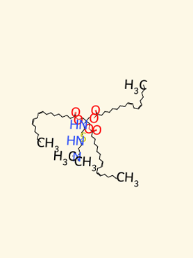 CCCCC/C=C\C/C=C\CCCCCCCC(=O)OCC(COC(=O)CCCCCCC/C=C\C/C=C\CCCCC)(COC(=O)CCCCCCC/C=C\C/C=C\CCCCC)NCCSNCCCN(C)C